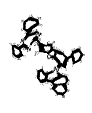 c1ccc(-c2cc(-n3c4ccccc4c4c5ccccc5ccc43)c3oc4cc(-c5nc(-c6ccccc6)nc(-c6ccccc6)n5)ccc4c3c2)cc1